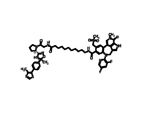 Cc1ncsc1-c1ccc([C@]2(C)NC([C@@H]3CCCN3C(=O)CNC(=O)CCCCCCCCCCNC(=O)c3cc4c(cc3CS(C)(=O)=O)-c3cn(C)c(=O)c5[nH]cc(c35)CN4c3ncc(F)cc3F)=NO2)cc1